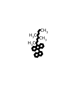 C\C=C/C=C(C)/C(C)=C/C=C(\C)c1c2ccccc2c(-c2cccc3ccccc23)c2ccccc12